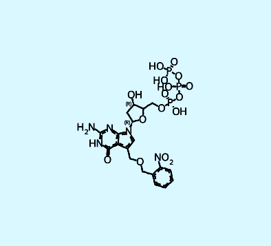 Nc1nc2c(c(COCc3ccccc3[N+](=O)[O-])cn2[C@H]2C[C@@H](O)C(COP(=O)(O)OP(=O)(O)OP(=O)(O)O)O2)c(=O)[nH]1